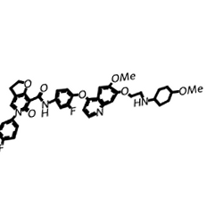 COc1cc2c(Oc3ccc(NC(=O)c4c5c(cn(-c6ccc(F)cc6)c4=O)CCO5)cc3F)ccnc2cc1OCCNC1CCC(OC)CC1